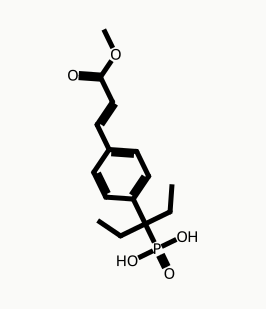 CCC(CC)(c1ccc(C=CC(=O)OC)cc1)P(=O)(O)O